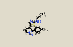 CCCNc1ncc(-c2cccnc2-c2ccc(C)cc2)s1